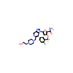 C[C@@H](Oc1cc(-n2cnc3cnc(CN4CCN(CCO)CC4)cc32)sc1C(N)=O)c1ccccc1Cl